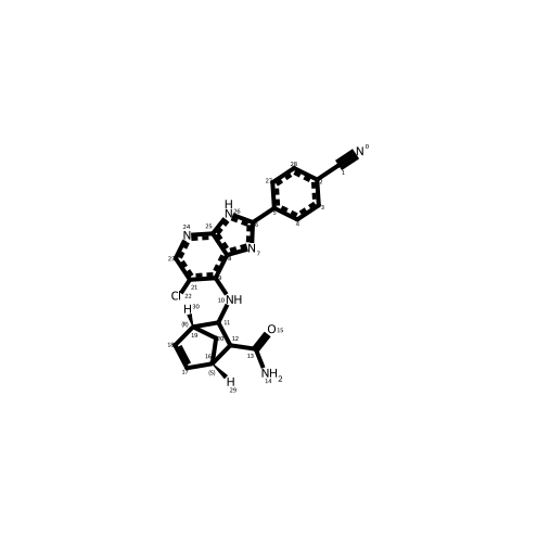 N#Cc1ccc(-c2nc3c(NC4C(C(N)=O)[C@@H]5C=C[C@H]4C5)c(Cl)cnc3[nH]2)cc1